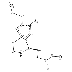 CCc1cc2c(cc1CCC(F)(F)F)CCN[C@@H]2CC[C@@H](C)CC(C)C